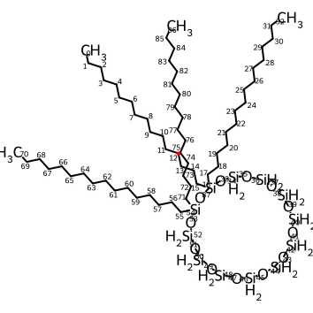 CCCCCCCCCCCCCCCC[Si]1(CCCCCCCCCCCCCCCC)O[SiH2]O[SiH2]O[SiH2]O[SiH2]O[SiH2]O[SiH2]O[SiH2]O[SiH2]O[SiH2]O[SiH2]O[Si](CCCCCCCCCCCCCCCC)(CCCCCCCCCCCCCCCC)O1